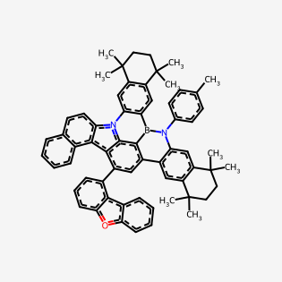 Cc1ccc(N2B3c4cc5c(cc4-n4c6ccc7ccccc7c6c6c(-c7cccc8oc9ccccc9c78)cc(c3c64)-c3cc4c(cc32)C(C)(C)CCC4(C)C)C(C)(C)CCC5(C)C)cc1